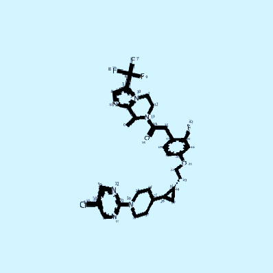 CC1c2ncc(C(F)(F)F)n2CCN1C(=O)Cc1ccc(OCC[C@@H]2CC2C2CCN(c3ncc(Cl)cn3)CC2)cc1F